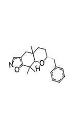 CC12CC[C@H](Cc3ccccc3)O[C@H]1C(C)(C)c1oncc1C2